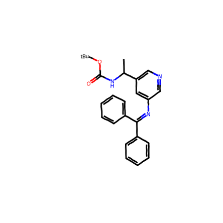 CC(NC(=O)OC(C)(C)C)c1cncc(N=C(c2ccccc2)c2ccccc2)c1